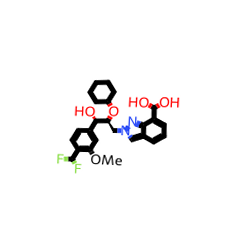 COc1cc([C@@H](O)[C@H](Cn2cc3cccc(C(O)O)c3n2)OC2CCCCC2)ccc1C(F)F